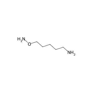 NCCCCCON